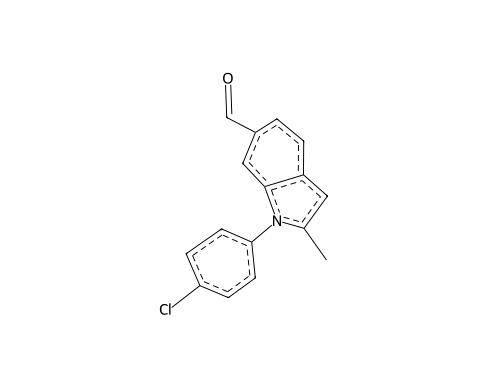 Cc1cc2ccc(C=O)cc2n1-c1ccc(Cl)cc1